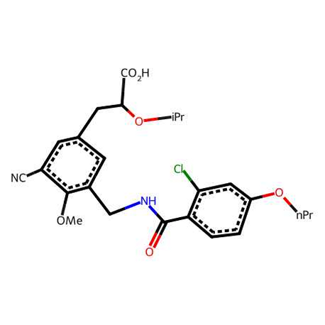 CCCOc1ccc(C(=O)NCc2cc(CC(OC(C)C)C(=O)O)cc(C#N)c2OC)c(Cl)c1